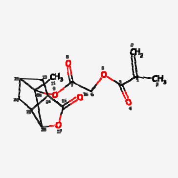 C=C(C)C(=O)OCC(=O)OC1(C)C2CC3C(=O)OC1C3C2